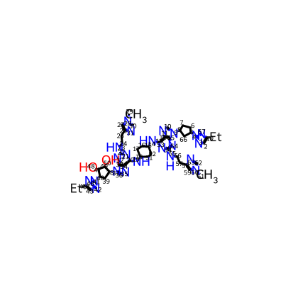 CCc1cnn([C@@H]2CC[C@H](n3cnc4c(N[C@H]5CC[C@H](Nc6nc(NCCc7cn(C)cn7)nc7c6ncn7[C@@H]6C[C@H](n7ncc(CC)n7)[C@@H](O)[C@H]6O)CC5)nc(NCCc5cn(C)cn5)nc43)C2)n1